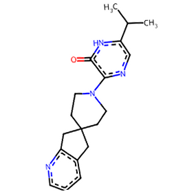 CC(C)c1cnc(N2CCC3(CC2)Cc2cccnc2C3)c(=O)[nH]1